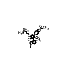 C=CC(=O)N1CC2(CCN(c3cc(OCCCN(C)C)c(Cl)c(-c4c(C)ccc5[nH]ncc45)c3C#N)CC2)C1